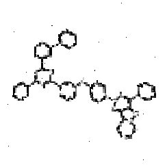 c1ccc(-c2cccc(-c3nc(-c4ccccc4)nc(-c4cccc(Sc5ccc(-c6nc(-c7ccccc7)c7oc8ccccc8c7n6)cc5)c4)n3)c2)cc1